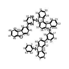 c1ccc(-n2c3ccccc3c3cc(-c4cccc(-n5c6ccccc6c6c7c8ccccc8n(-c8nccc(-c9ccc%10oc%11ccccc%11c%10c9)n8)c7ccc65)c4)ccc32)cc1